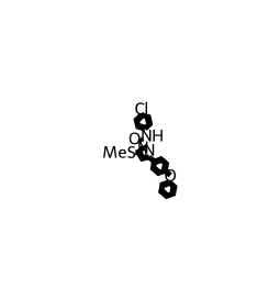 CSc1cc(-c2ccc(Oc3ccccc3)cc2)nn1C(=O)Nc1ccc(Cl)cc1